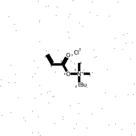 C=CC(=O)O[N+](C)(C)C(C)(C)C.[Cl-]